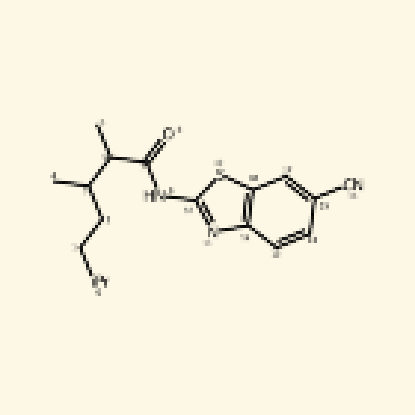 CC(C)CCC(C)C(C)C(=O)Nc1nc2ccc(C#N)cc2s1